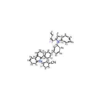 C=C/C=C\c1c(C)c2ccccc2n1C1C=C(c2cccc(-c3c(C#N)cccc3-n3c4ccccc4c4ccccc43)c2)C=CC1